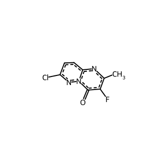 Cc1nc2ccc(Cl)nn2c(=O)c1F